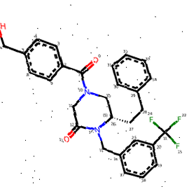 O=C(c1ccc(CO)cc1)N1CC(=O)N(Cc2cccc(C(F)(F)F)c2)[C@@H](CCc2ccccc2)C1